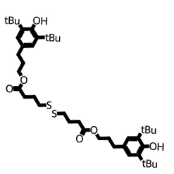 CC(C)(C)c1cc(CCCOC(=O)CCCSSCCCC(=O)OCCCc2cc(C(C)(C)C)c(O)c(C(C)(C)C)c2)cc(C(C)(C)C)c1O